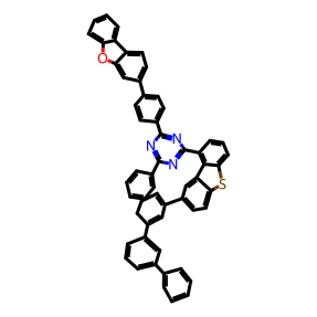 C1=C(c2ccc3sc4cccc(-c5nc(-c6ccccc6)nc(-c6ccc(-c7ccc8c(c7)oc7ccccc78)cc6)n5)c4c3c2)C=C(c2cccc(-c3ccccc3)c2)CC1